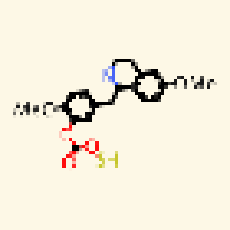 COc1ccc2c(c1)CCN=C2Cc1ccc(OC)c(OC(=O)OS)c1